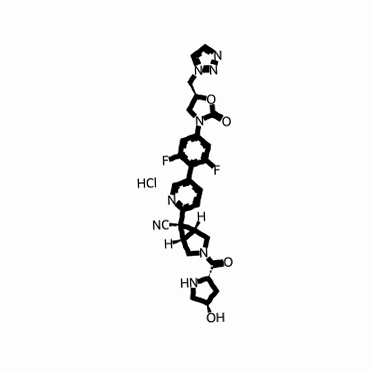 Cl.N#C[C@@]1(c2ccc(-c3c(F)cc(N4C[C@@H](Cn5ccnn5)OC4=O)cc3F)cn2)[C@@H]2CN(C(=O)[C@@H]3C[C@@H](O)CN3)C[C@@H]21